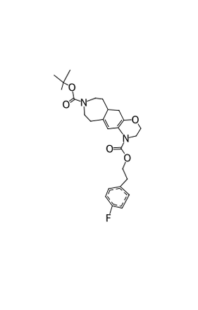 CC(C)(C)OC(=O)N1CCC2=CC3=C(CC2CC1)OCCN3C(=O)OCCc1ccc(F)cc1